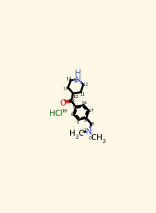 CN(C)Cc1ccc(C(=O)C2CCNCC2)cc1.Cl